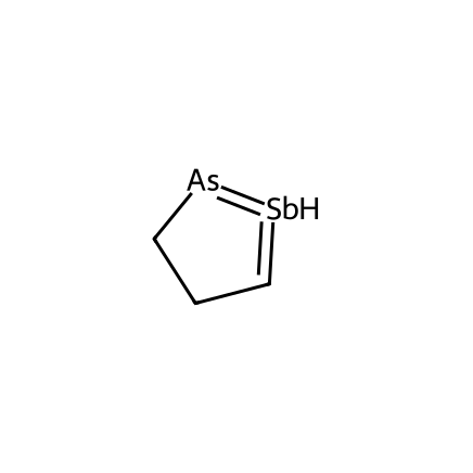 [CH]1=[SbH]=[As]CC1